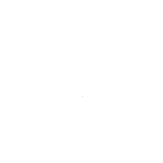 CC1(F)COC(C)(CF)O1